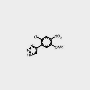 COc1cc(-c2c[nH]nn2)c(Cl)cc1[N+](=O)[O-]